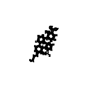 CCCCc1cccc(-c2ccccc2-c2ccccc2-c2cccc([N+](=O)[O-])c2F)c1N